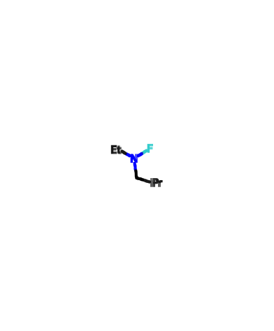 CCN(F)CC(C)C